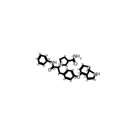 NC(=O)C1CCN(C(Cc2ccc(Oc3ccnc4[nH]ccc34)cc2)C(=O)Nc2ccccc2)C1